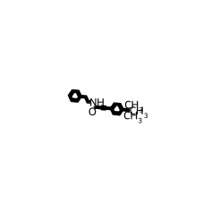 CC(C)(C)c1ccc(C#CC(=O)NCCc2ccccc2)cc1